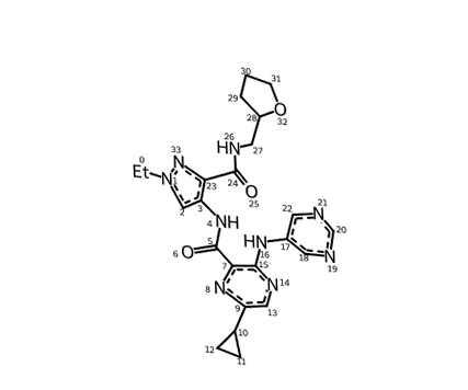 CCn1cc(NC(=O)c2nc(C3CC3)cnc2Nc2cncnc2)c(C(=O)NCC2CCCO2)n1